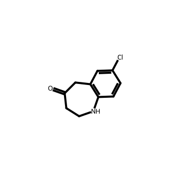 O=C1CCNc2ccc(Cl)cc2C1